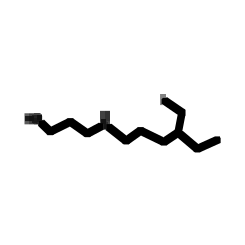 CCC(CI)CCCNCCCO